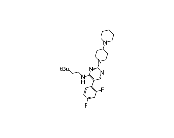 CC(C)(C)CCNc1nc(N2CCC(N3CCCCC3)CC2)ncc1-c1ccc(F)cc1F